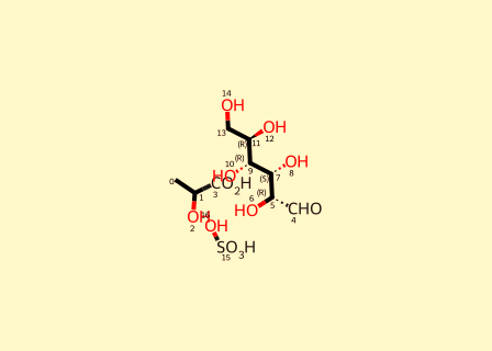 CC(O)C(=O)O.O=C[C@H](O)[C@@H](O)[C@H](O)[C@H](O)CO.O=S(=O)(O)O